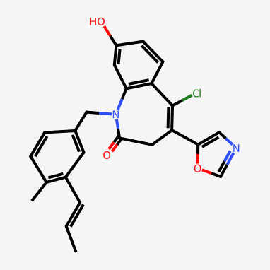 C/C=C/c1cc(CN2C(=O)CC(c3cnco3)=C(Cl)c3ccc(O)cc32)ccc1C